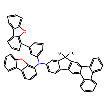 CC1(C)c2cc(N(c3cccc(-c4cccc5c4oc4ccccc45)c3)c3cccc4c3oc3ccccc34)ccc2-c2cc3c4ccccc4c4ccccc4c3cc21